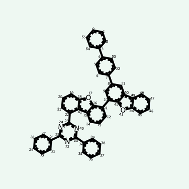 c1ccc(-c2ccc(-c3cc(-c4cccc5c4oc4cccc(-c6nc(-c7ccccc7)nc(-c7ccccc7)n6)c45)c4oc5ccccc5c4c3)cc2)cc1